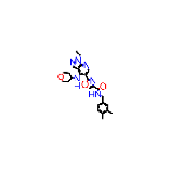 CCn1ncc2c(NC3CCOCC3)c(-c3nc(C(=O)NCc4ccc(C)c(C)c4)co3)cnc21